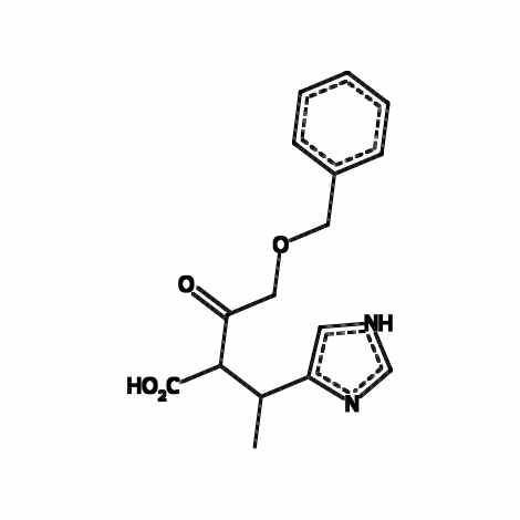 CC(c1c[nH]cn1)C(C(=O)O)C(=O)COCc1ccccc1